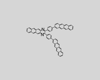 c1ccc2cc3cc4cc(-c5ccc(-c6nc7cc8cc9ccccc9cc8cc7nc6-c6ccc(-c7ccc8cc9cc%10ccccc%10cc9cc8c7)cc6)cc5)ccc4cc3cc2c1